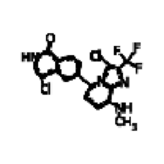 CNc1ccc(-c2ccc3c(=O)[nH]cc(Cl)c3c2)n2c(Cl)c(C(F)(F)F)nc12